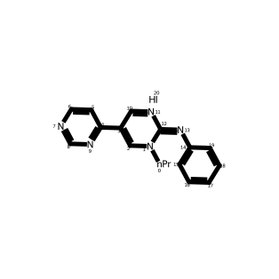 CCCn1cc(-c2ccncn2)cnc1=Nc1ccccc1.I